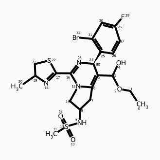 CCOC(O)C1=C2CC(NS(C)(=O)=O)CN2C(C2=NC(C)CS2)=N[C@H]1c1ccc(F)cc1Br